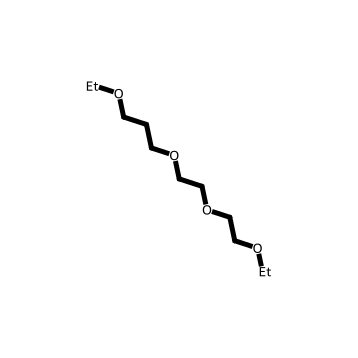 CCOCCCOCCOCCOCC